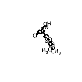 CC(C)Oc1ccc(S(=O)(=O)N2CCC(c3cn(CC(=O)O)c4ccc(Cl)cc34)CC2)cn1